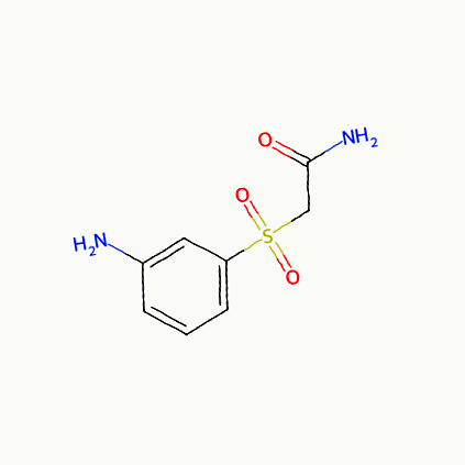 NC(=O)CS(=O)(=O)c1cccc(N)c1